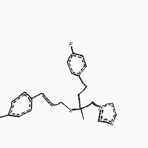 Cc1ccc(C=CCSC(C)(CCc2ccc(F)cc2)Cn2ccnc2)cc1